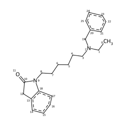 CCN(CCCCCCN1C(=O)Cc2ccccc21)Cc1ccccc1